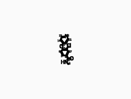 CNC(=O)c1ccc(Oc2ccncc2)c(Cl)c1